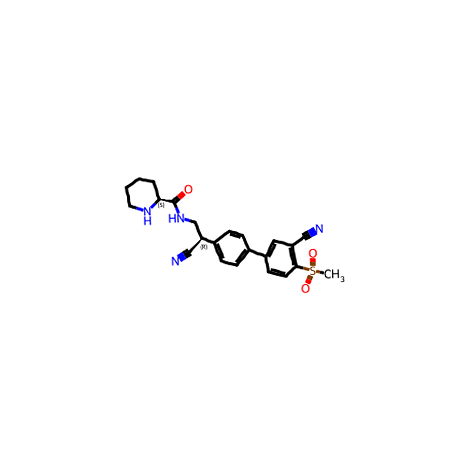 CS(=O)(=O)c1ccc(-c2ccc([C@@H](C#N)CNC(=O)[C@@H]3CCCCN3)cc2)cc1C#N